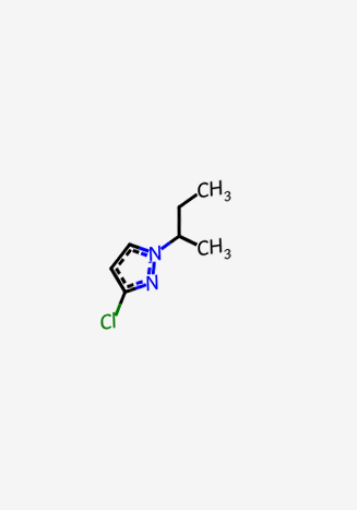 CCC(C)n1ccc(Cl)n1